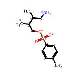 Cc1ccc(S(=O)(=O)OCC(C)C(C)CN)cc1